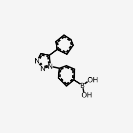 OB(O)c1ccc(-n2nncc2-c2ccccc2)cc1